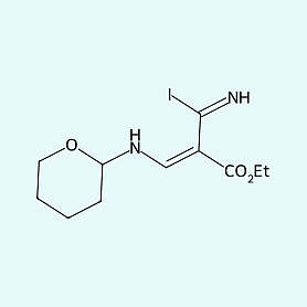 CCOC(=O)/C(=C/NC1CCCCO1)C(=N)I